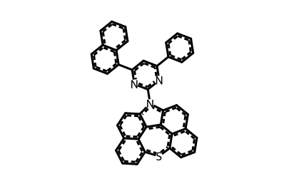 c1ccc(-c2cc(-c3cccc4ccccc34)nc(-n3c4ccc5cccc6sc7cccc8ccc3c(c87)c4c56)n2)cc1